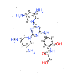 N[C@@H]1C[C@H](N)CN(c2nc(Nc3ccc(NC(=O)CO)c(O)c3)nc(N3C[C@H](N)C[C@H](N)C3)n2)C1